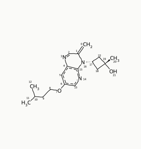 C=C1C=Nc2cc(OCCC(C)C)cnc2N1[C@H]1C[C@@](C)(O)C1